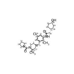 Cc1c(CN2CCN(C(=O)N3CCCC3)[C@@H](C)C2)cc(Cl)cc1NC(=O)C[C@H]1CC[C@@H](O)CC1